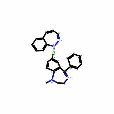 C1=Cc2ccccc2NN=C1.CN1CCN=C(c2ccccc2)c2cc(Cl)ccc21